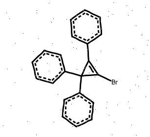 BrC1=C(c2ccccc2)C1(c1ccccc1)c1ccccc1